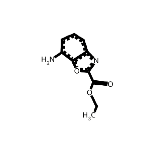 CCOC(=O)c1nc2cccc(N)c2o1